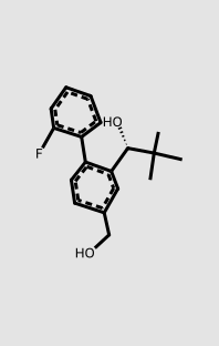 CC(C)(C)[C@@H](O)c1cc(CO)ccc1-c1ccccc1F